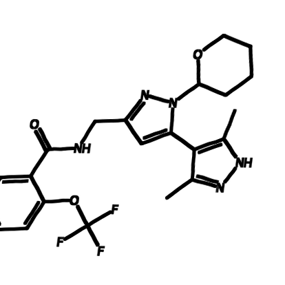 Cc1n[nH]c(C)c1-c1cc(CNC(=O)c2ccccc2OC(F)(F)F)nn1C1CCCCO1